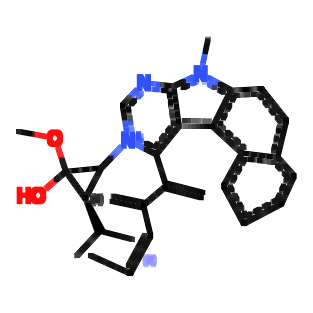 C=C(/C=C\C)C(=C)c1c2c3c4ccccc4ccc3n(C)c2nc[n+]1C1[C@@H](C(C)C)C1(O)OC